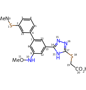 CNSc1cccc(-c2cc(NOC)cc(-c3nnc(SCC(=O)O)[nH]3)c2)c1